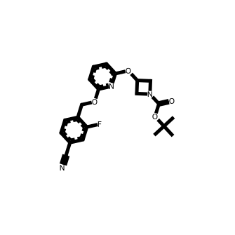 CC(C)(C)OC(=O)N1CC(Oc2cccc(OCc3ccc(C#N)cc3F)n2)C1